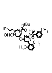 Cc1cccc(S(=O)(=O)Nc2nc(O[C@@H]3CN(C(=O)OC(C)(C)C)C[C@H](CCC(C)C)N(C=O)C3)cc(-c3c(C)cccc3C)n2)c1